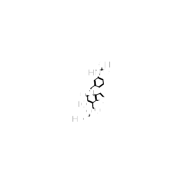 CCOC(=O)c1c(O)c(=O)n(Cc2cccc(NC(C)=O)c2)c2ccsc12